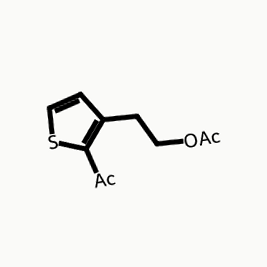 CC(=O)OCCc1ccsc1C(C)=O